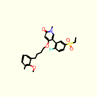 CCS(=O)(=O)c1ccc(F)c(-c2cn(C)c(=O)cc2OCCCCc2cccc(C)c2OC)c1